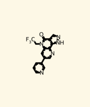 O=c1c2cn[nH]c2c2ncc(-c3cccnc3)cc2n1CC(F)(F)F